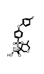 CC1COCC(NS(=O)(=O)c2ccc(Oc3ccc(F)cc3)cc2)(C(=O)NO)C1